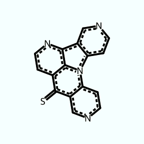 S=c1c2cnccc2n2c3ccncc3c3nccc1c32